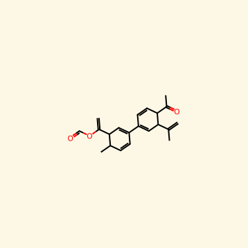 C=C(OC=O)C1C=C(C2=CC(C(=C)C)C(C(C)=O)C=C2)C=CC1C